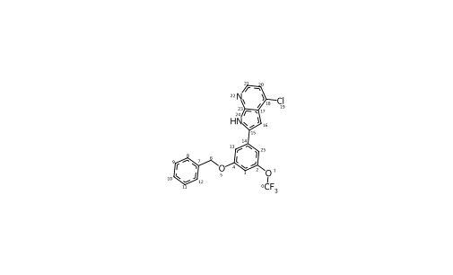 FC(F)(F)Oc1cc(OCc2ccccc2)cc(-c2cc3c(Cl)ccnc3[nH]2)c1